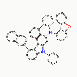 c1ccc(-c2ccccc2N(c2ccc3c4c(-c5ccc6ccccc6c5)cccc4n(-c4ccccc4)c3c2)c2cccc3oc4ccccc4c23)cc1